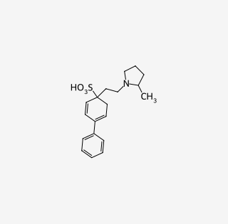 CC1CCCN1CCC1(S(=O)(=O)O)C=CC(c2ccccc2)=CC1